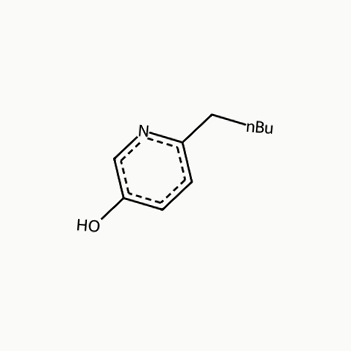 CCCCCc1ccc(O)cn1